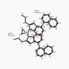 CCCC1=Cc2c(-c3cccc4ccccc34)cccc2[CH]1[Hf+2]1([CH]2C(CCC)=Cc3c(-c4cccc5ccccc45)cccc32)[CH2][CH2]1.[Cl-].[Cl-]